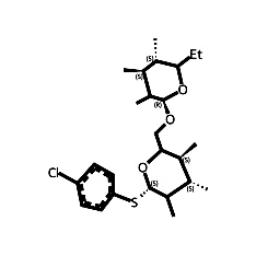 CCC1O[C@@H](OCC2O[C@@H](Sc3ccc(Cl)cc3)C(C)[C@@H](C)[C@@H]2C)C(C)[C@@H](C)[C@@H]1C